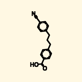 N#Cc1ccc(CCCc2ccc(C(=O)O)cc2)cc1